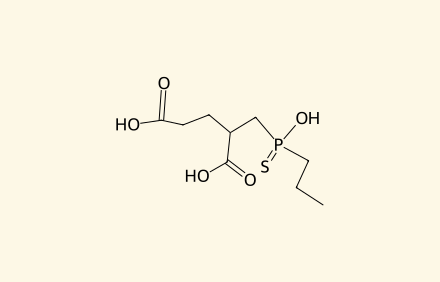 CCCP(O)(=S)CC(CCC(=O)O)C(=O)O